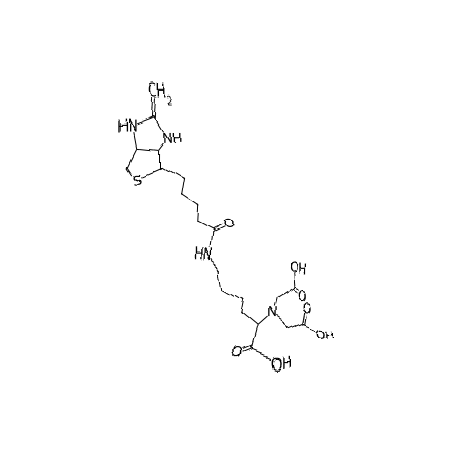 C=C1NC2CSC(CCCCC(=O)NCCCCC(C(=O)O)N(CC(=O)O)CC(=O)O)C2N1